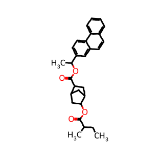 CCC(C)C(=O)OC1CC2CC1CC2C(=O)OC(C)c1ccc2c(ccc3ccccc32)c1